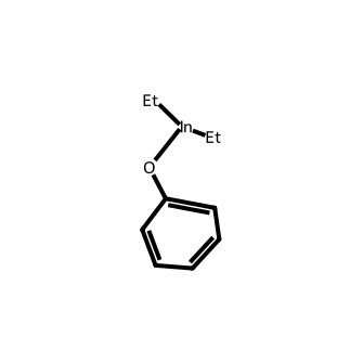 C[CH2][In]([CH2]C)[O]c1ccccc1